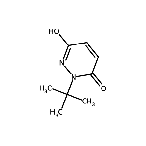 CC(C)(C)n1nc(O)ccc1=O